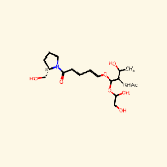 CC(=O)NC(C(C)O)C(OCCCCC(=O)N1CCC[C@H]1CO)OC(O)CO